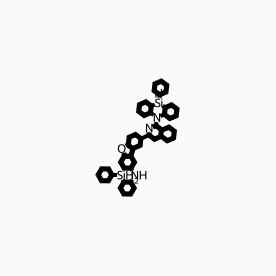 c1ccc([SiH2]c2ccccc2Nc2ccc3oc4ccc(-c5cc6ccccc6c(N6c7ccccc7[SiH](c7ccccc7)c7ccccc76)n5)cc4c3c2)cc1